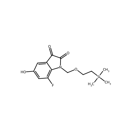 C[Si](C)(C)CCOCN1C(=O)C(=O)c2cc(O)cc(F)c21